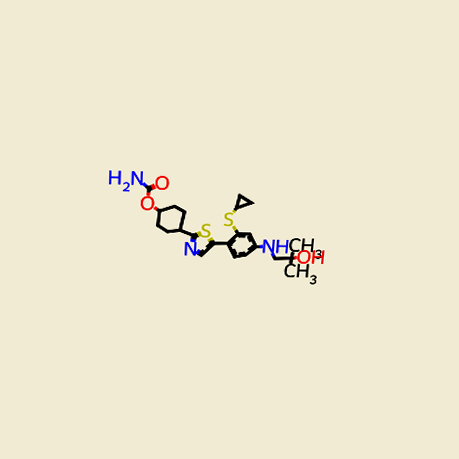 CC(C)(O)CNc1ccc(-c2cnc(C3CCC(OC(N)=O)CC3)s2)c(SC2CC2)c1